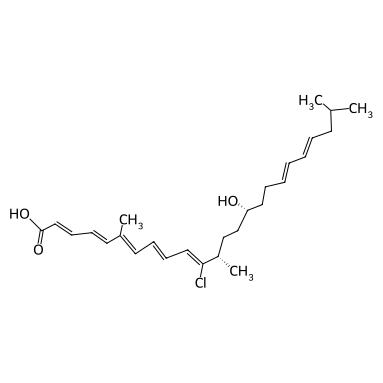 CC(/C=C/C=C/C(=O)O)=C\C=C\C=C(/Cl)[C@@H](C)CC[C@H](O)CC/C=C/C=C/CC(C)C